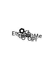 CCSc1cccc(Cl)c1S(=O)(=O)OCP(=O)(OC)OC(C)C